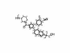 CN[C@@H]1CCCN(C(=O)c2cc(-c3ccc(C#N)c(F)c3)c(-c3ccc4nn(C(C)(C)CO)cc4c3)s2)C1